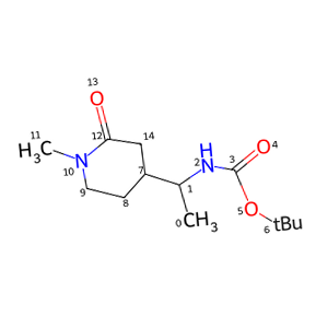 CC(NC(=O)OC(C)(C)C)C1CCN(C)C(=O)C1